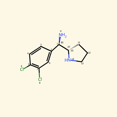 N[C@H](c1ccc(Cl)c(Cl)c1)[C@@H]1CCCN1